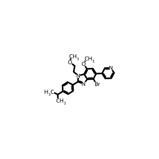 COCCn1c(-c2ccc(C(C)C)cc2)nc2c(Br)c(-c3cccnc3)cc(OC)c21